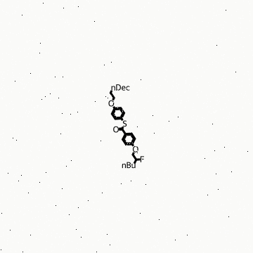 CCCCCCCCCCCCOc1ccc(SC(=O)c2ccc(OCC(F)CCCC)cc2)cc1